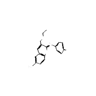 CCOCc1cc2cc(Br)ccc2oc1=Nc1ccc(F)cc1